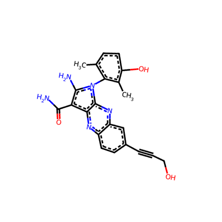 Cc1ccc(O)c(C)c1-n1c(N)c(C(N)=O)c2nc3ccc(C#CCO)cc3nc21